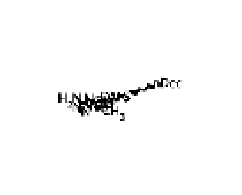 CCCCCCCCCCCCCCCCSCCCO[P@](=O)(OC)[C@H](C)Cn1cnc2c(N)ncnc21